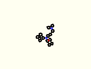 c1ccc(-c2cccc3cccc(-c4ccc(N(c5ccc6c(c5)-c5ccccc5C65c6ccccc6-c6ccccc65)c5ccc6cc(-c7cccc(-n8c9ccccc9c9ccccc98)c7)ccc6c5)cc4)c23)cc1